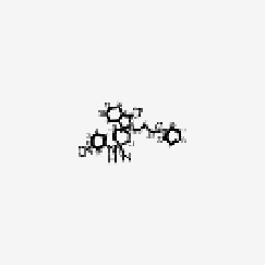 N#CC1(Nc2cccc(Cl)c2)CCC2(CC1)c1ccccc1C(=O)N2CCCOc1ccccc1